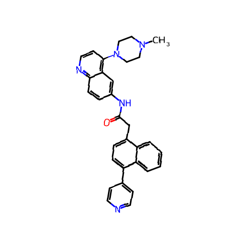 CN1CCN(c2ccnc3ccc(NC(=O)Cc4ccc(-c5ccncc5)c5ccccc45)cc23)CC1